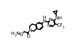 NOCC(=O)N1CCc2cc(Nc3ncc(C(F)(F)F)c(NC4CC4)n3)ccc2C1